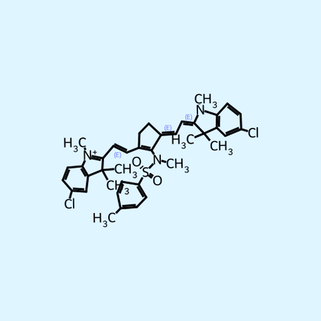 Cc1ccc(S(=O)(=O)N(C)C2=C(/C=C/C3=[N+](C)c4ccc(Cl)cc4C3(C)C)CC/C2=C\C=C2\N(C)c3ccc(Cl)cc3C2(C)C)cc1